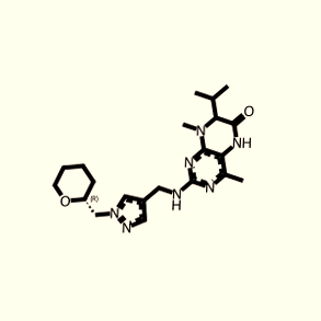 Cc1nc(NCc2cnn(C[C@H]3CCCCO3)c2)nc2c1NC(=O)C(C(C)C)N2C